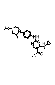 CC(=O)N1CCN(c2ccc(Nc3ncc(C(N)=O)c(NC4CC4)n3)cc2)C(C)C1